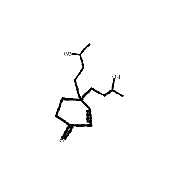 CC(O)CCC1(CCC(C)O)C=CC(=O)CC1